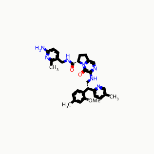 COc1cc(C)ccc1[C@H](CNc1ncc2n(c1=O)[C@H](C(=O)NCc1ccc(N)nc1C)CC2)c1ccc(C)cn1